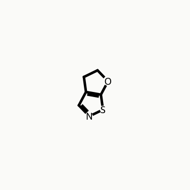 c1nsc2c1CCO2